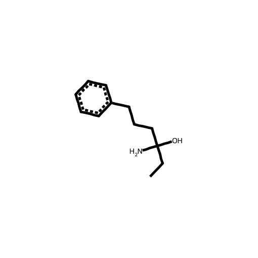 CCC(N)(O)CCCc1ccccc1